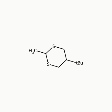 CC1SCC(C(C)(C)C)CS1